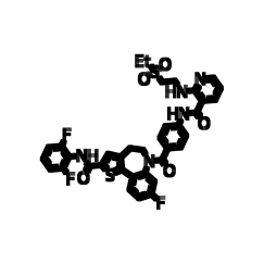 CCS(=O)(=O)CCNc1ncccc1C(=O)Nc1ccc(C(=O)N2CCc3cc(C(=O)Nc4c(F)cccc4F)sc3-c3ccc(F)cc32)cc1